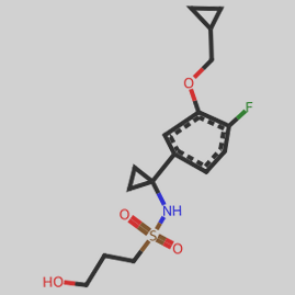 O=S(=O)(CCCO)NC1(c2ccc(F)c(OCC3CC3)c2)CC1